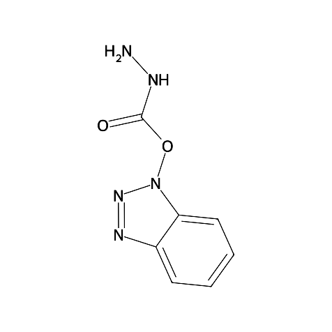 NNC(=O)On1nnc2ccccc21